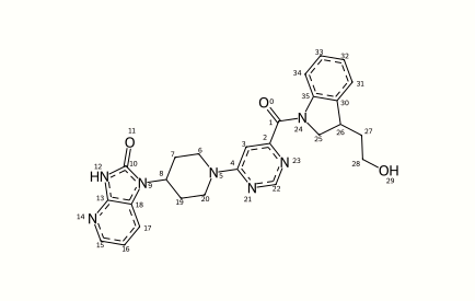 O=C(c1cc(N2CCC(n3c(=O)[nH]c4ncccc43)CC2)ncn1)N1CC(CCO)c2ccccc21